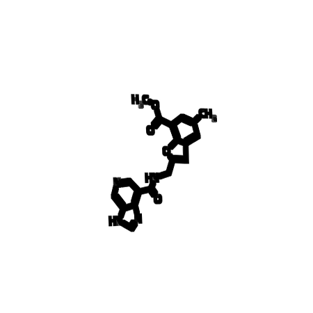 COC(=O)c1cc(C)cc2cc(CNC(=O)c3cncc4[nH]cnc34)oc12